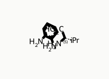 CC(C)[C@H](N)C(=O)O.Nc1ccccc1N